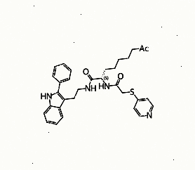 CC(=O)CCCCC[C@H](NC(=O)CSc1ccncc1)C(=O)NCCc1c(-c2ccccc2)[nH]c2ccccc12